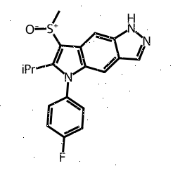 CC(C)c1c([S+](C)[O-])c2cc3[nH]ncc3cc2n1-c1ccc(F)cc1